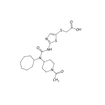 CC(=O)N1CCC(N(C(=O)Nc2ncc(SCC(=O)O)s2)C2CCCCCC2)CC1